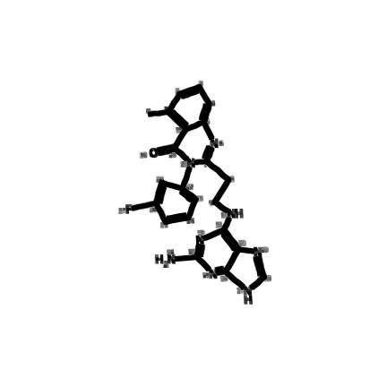 Cc1cccc2nc(CCNc3nc(N)nc4[nH]cnc34)n(-c3cccc(F)c3)c(=O)c12